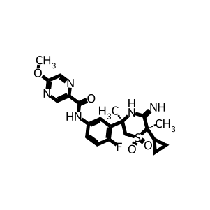 COc1cnc(C(=O)Nc2ccc(F)c([C@]3(C)CS(=O)(=O)[C@](C)(C4CC4)C(=N)N3)c2)cn1